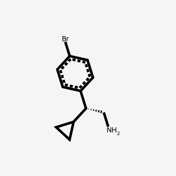 NC[C@@H](c1ccc(Br)cc1)C1CC1